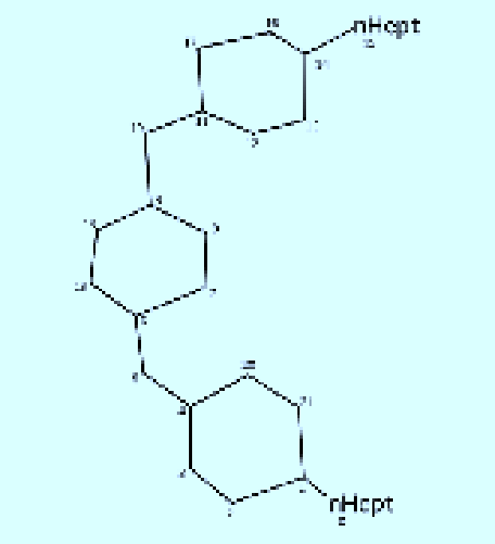 CCCCCCCC1CCC(CC2CCC(CC3CCC(CCCCCCC)CC3)CC2)CC1